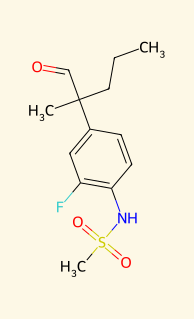 CCCC(C)(C=O)c1ccc(NS(C)(=O)=O)c(F)c1